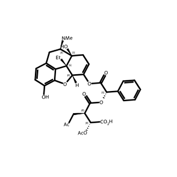 CC[C@]12c3c4ccc(O)c3O[C@H]1C(OC(=O)[C@@H](OC(=O)[C@H](CC(C)=O)[C@@H](OC(C)=O)C(=O)O)c1ccccc1)=CC[C@@]2(O)[C@H](NC)C4